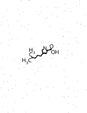 CC(C)CCCC1=CC(C(=O)O)=NC1